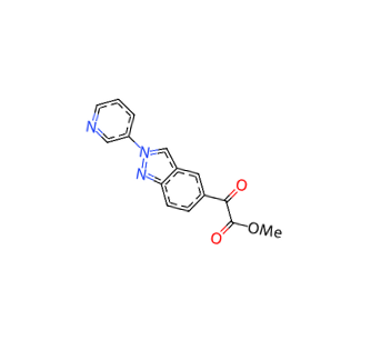 COC(=O)C(=O)c1ccc2nn(-c3cccnc3)cc2c1